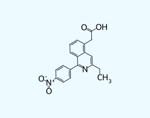 CCc1cc2c(CC(=O)O)cccc2c(-c2ccc([N+](=O)[O-])cc2)n1